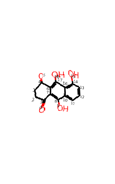 O=C1CCC(=O)c2c1c(O)c1cccc(O)c1c2O